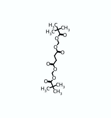 CC(C)(C)C(=O)OCOC(=O)CCC(=O)OCOC(=O)C(C)(C)C